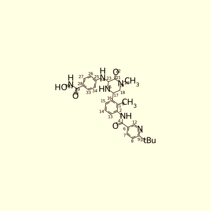 Cc1c(NC(=O)c2ccc(C(C)(C)C)nc2)cccc1C1CN(C)C(=O)C(Nc2ccc(C(=O)NO)cc2)N1